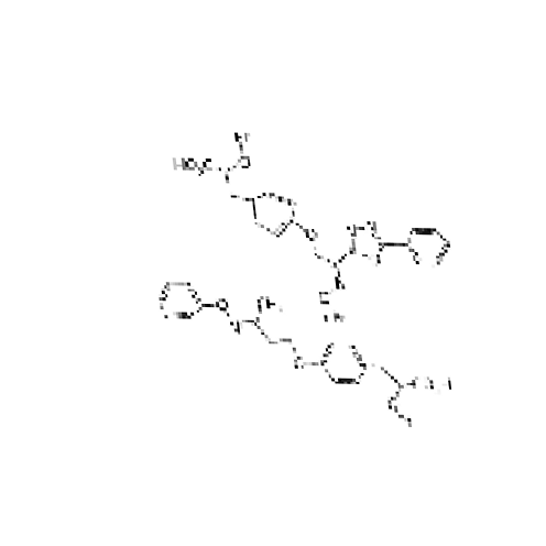 CCCO/N=C(\COc1ccc(CC(OCC)C(=O)O)cc1)c1nnc(-c2ccccc2)o1.CCOC(Cc1ccc(OCC/C(C)=N/Oc2ccccc2)cc1)C(=O)O